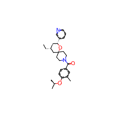 CC[C@@H]1C[C@H](c2cccnc2)OC2(CCN(C(=O)c3ccc(OC(C)C)c(C)c3)CC2)C1